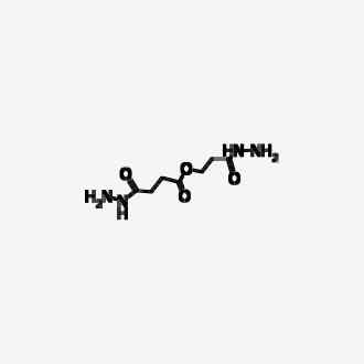 NNC(=O)CCOC(=O)CCC(=O)NN